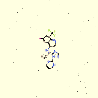 C[C@H](Nc1ccnc2c(C(F)(F)F)cc(I)cc12)c1ncnn1-c1ncccn1